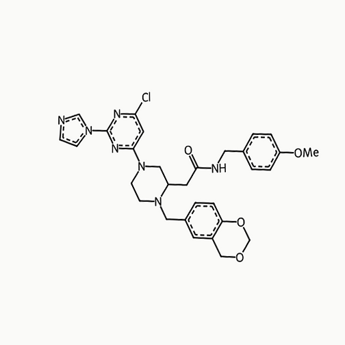 COc1ccc(CNC(=O)CC2CN(c3cc(Cl)nc(-n4ccnc4)n3)CCN2Cc2ccc3c(c2)COCO3)cc1